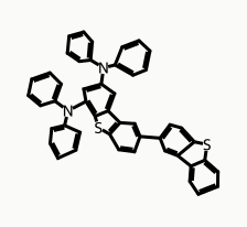 c1ccc(N(c2ccccc2)c2cc(N(c3ccccc3)c3ccccc3)c3sc4ccc(-c5ccc6sc7ccccc7c6c5)cc4c3c2)cc1